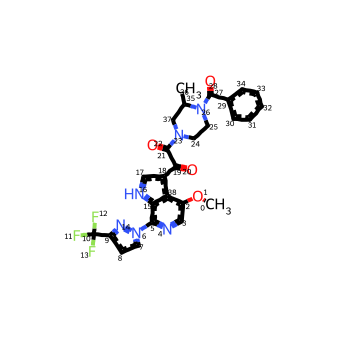 COc1cnc(-n2ccc(C(F)(F)F)n2)c2[nH]cc(C(=O)C(=O)N3CCN(C(=O)c4ccccc4)C(C)C3)c12